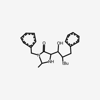 CC1NC(C(O)[C](Cc2ccccc2)C(C)(C)C)C(=O)N1Cc1ccccc1